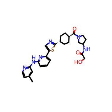 Cc1ccnc(Nc2cccc(-c3cnc([C@H]4CC[C@H](C(=O)N5CCC(NC(=O)CO)C5)CC4)s3)n2)c1